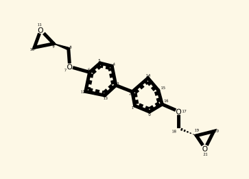 c1cc(-c2ccc(OC[C@H]3CO3)cc2)ccc1OC[C@@H]1CO1